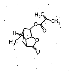 C=C(C)C(=O)OC1C2OC(=O)C3CC1[C@@H](C)C32